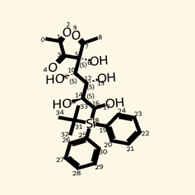 CC(=O)C(=O)[C@@](O)(C(C)=O)[C@@H](O)[C@H](O)[C@H](O)C(O)[Si](c1ccccc1)(c1ccccc1)C(C)(C)C